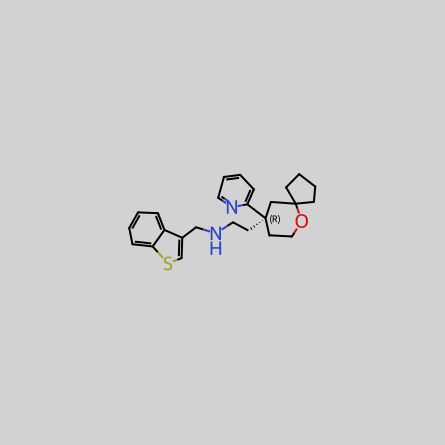 c1ccc([C@]2(CCNCc3csc4ccccc34)CCOC3(CCCC3)C2)nc1